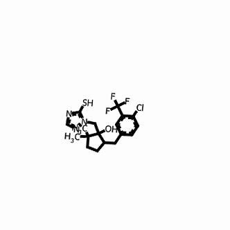 CC1(C)CCC(Cc2ccc(Cl)c(C(F)(F)F)c2)C1(O)Cn1ncnc1S